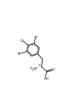 N[C@H](Cc1cc(Br)c(Cl)c(Br)c1)C(=O)O